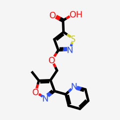 Cc1onc(-c2ccccn2)c1COc1cc(C(=O)O)sn1